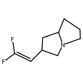 FC(F)=CC1CC2CCCN2C1